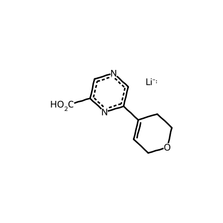 O=C(O)c1cncc(C2=CCOCC2)n1.[Li-]